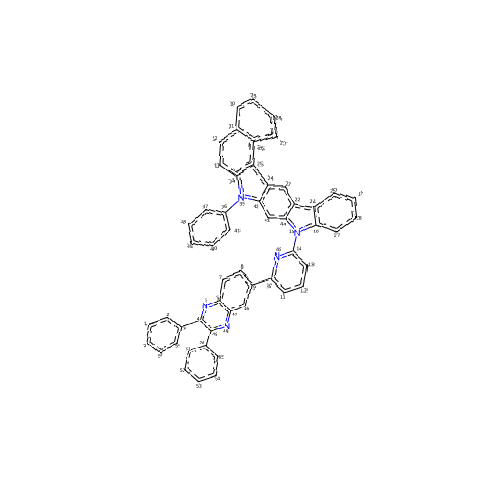 c1ccc(-c2nc3ccc(-c4cccc(-n5c6ccccc6c6cc7c8c9ccccc9ccc8n(-c8ccccc8)c7cc65)n4)cc3nc2-c2ccccc2)cc1